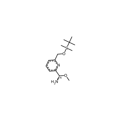 CO[C@@H](N)c1cccc(CO[Si](C)(C)C(C)(C)C)n1